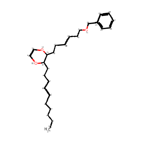 CCCCCCCCCCC1OCCOC1CCCCCCOCc1ccccc1